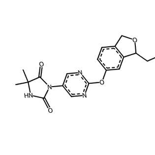 CCC1OCc2ccc(Oc3ncc(N4C(=O)NC(C)(C)C4=O)cn3)cc21